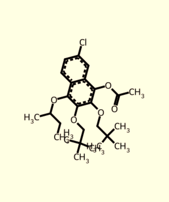 CCC(C)Oc1c(OCC(C)(C)C)c(OCC(C)(C)C)c(OC(C)=O)c2cc(Cl)ccc12